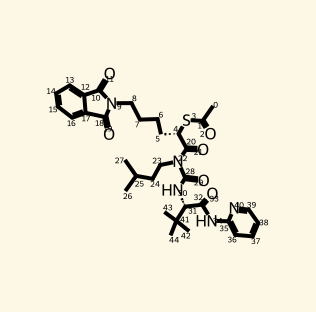 CC(=O)S[C@@H](CCCCN1C(=O)c2ccccc2C1=O)C(=O)N(CCC(C)C)C(=O)N[C@H](C(=O)Nc1ccccn1)C(C)(C)C